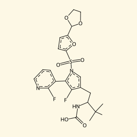 CC(C)(C)C(Cc1cn(S(=O)(=O)c2ccc(C3OCCO3)o2)c(-c2cccnc2F)c1F)NC(=O)O